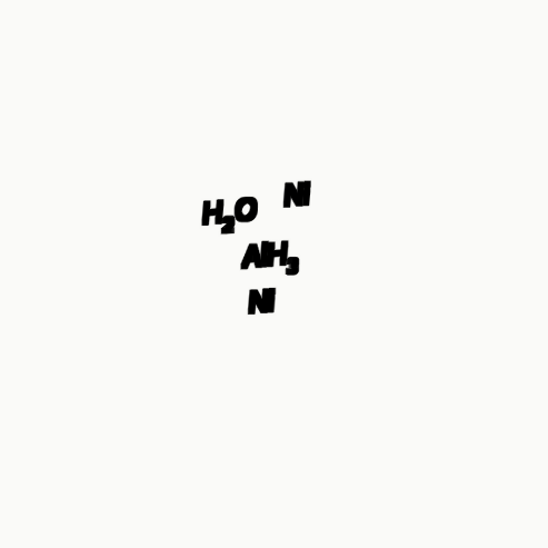 O.[AlH3].[Ni].[Ni]